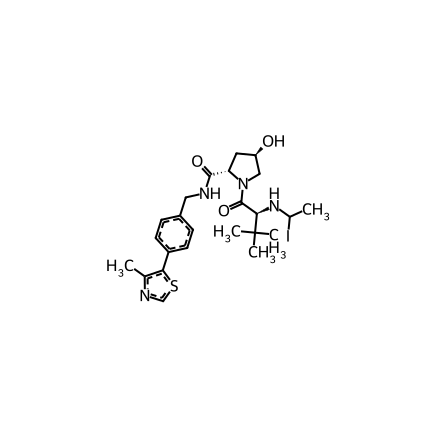 Cc1ncsc1-c1ccc(CNC(=O)[C@@H]2C[C@@H](O)CN2C(=O)[C@@H](NC(C)I)C(C)(C)C)cc1